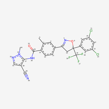 Cc1cc(C2=NOC(c3cc(Cl)cc(Cl)c3)(C(F)(F)F)C2)ccc1C(=O)Nc1c(C#N)cnn1C